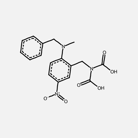 CN(Cc1ccccc1)c1ccc([N+](=O)[O-])cc1CN(C(=O)O)C(=O)O